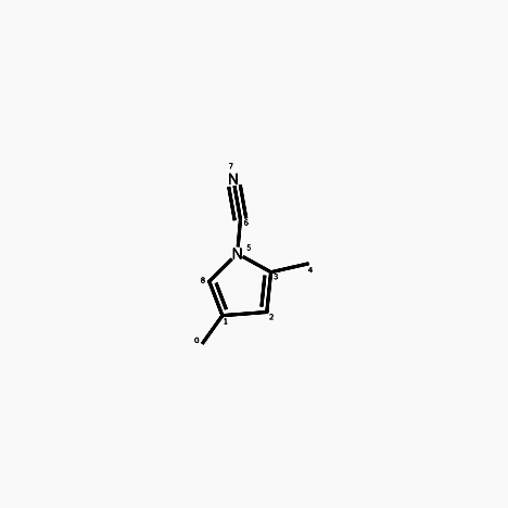 Cc1cc(C)n(C#N)c1